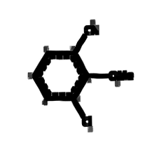 COc1c(Cl)cccc1C#N